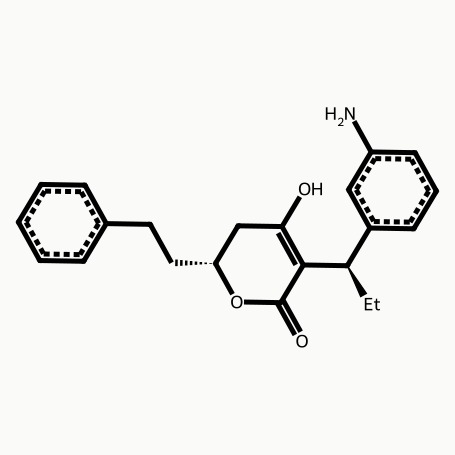 CC[C@@H](C1=C(O)C[C@@H](CCc2ccccc2)OC1=O)c1cccc(N)c1